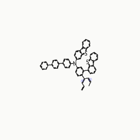 C=C/C=C(\C=C/C)c1ccc(N(c2ccc(-c3ccc(-c4ccccc4)cc3)cc2)c2ccc3c(c2)sc2ccccc23)cc1-c1cccc2c1sc1ccccc12